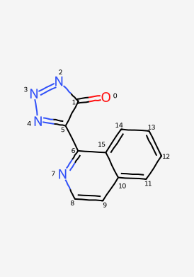 O=C1N=NN=C1c1nccc2ccccc12